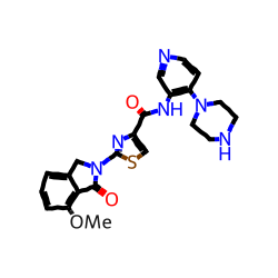 COc1cccc2c1C(=O)N(c1nc(C(=O)Nc3cnccc3N3CCNCC3)cs1)C2